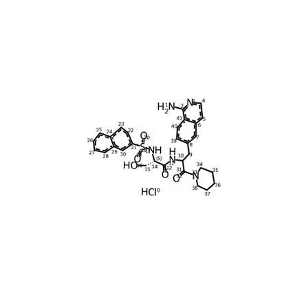 Cl.Nc1nccc2cc(CC(NC(=O)[C@H](CO)NS(=O)(=O)c3ccc4ccccc4c3)C(=O)N3CCCCC3)ccc12